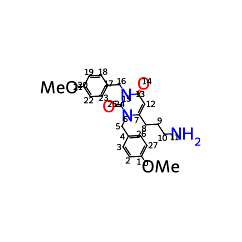 COc1ccc(Cn2c(CCCN)cc(=O)n(Cc3ccc(OC)cc3)c2=O)cc1